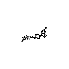 Cc1cc(S(=O)(=O)NCCCN2CCC(c3noc4cc(F)ccc34)CC2)c(C)s1